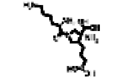 NCCCC[C@H](N)C(=O)N1CC(CCCB(O)O)[C@](N)(C(O)O)C1